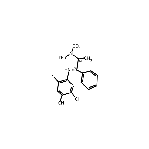 C[C@@H]([C@@H](Nc1nc(Cl)c(C#N)cc1F)c1ccccc1)N(C(=O)O)C(C)(C)C